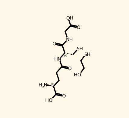 N[C@@H](CCC(=O)N[C@@H](CS)C(=O)NCC(=O)O)C(=O)O.OCCS